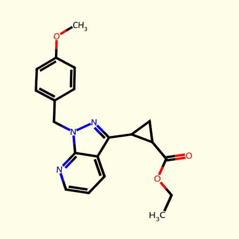 CCOC(=O)C1CC1c1nn(Cc2ccc(OC)cc2)c2ncccc12